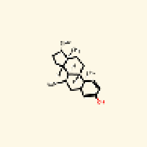 CNC1CC2C=C(O)C=C[C@]2(C)[C@H]2CC[C@]3(C)[C@@H](NC)CC[C@H]3[C@H]12